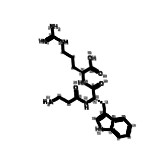 N=C(N)NCCC[C@H](NC(=O)[C@H](Cc1c[nH]c2ccccc12)NC(=O)CCN)C(=O)O